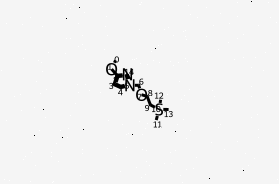 COc1ccn(COCCS(C)(C)C)n1